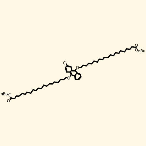 CCCCOC(=O)CCCCCCCCCCCCCCCCCCCCOc1c2ccccc2c(OCCCCCCCCCCCCCCCCCCCCC(=O)OCCCC)c2cc(Cl)ccc12